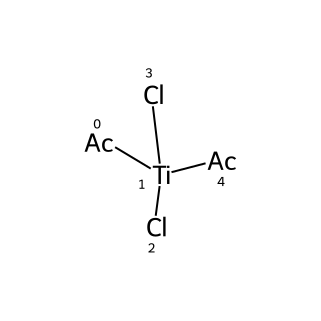 C[C](=O)[Ti]([Cl])([Cl])[C](C)=O